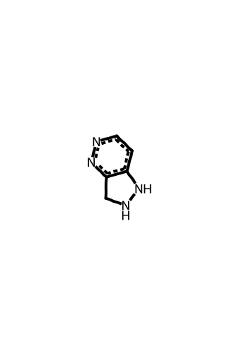 c1cc2c(nn1)CNN2